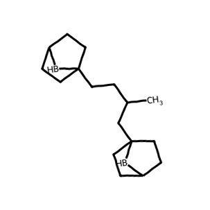 CC(CCC12BC(CC1)CC2)CC12BC(CC1)CC2